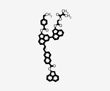 C=Cc1ccc(C(=O)OC2Cc3ccc(/C=C/c4ccc5cc(C(=O)OC6Cc7cccc8cccc6c78)ccc5c4)c4cc(-c5ccc6cccc7c6c5CC7OC(=O)COC(=O)C(=C)C)cc2c34)cc1